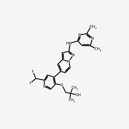 Cc1cc(Nc2cc3cc(-c4cc(C(F)F)ncc4OCC(C)(C)O)ccn3n2)nc(C)n1